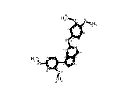 COc1ncc(-c2csc3cnc(Nc4ccc(OC)c(OC)c4)nc23)c(OC)n1